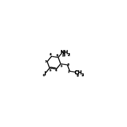 CCCC1C=C(I)CCC1N